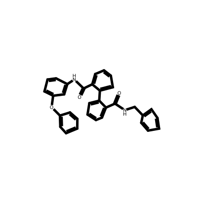 O=C(NCc1ccccc1)c1ccccc1-c1ccccc1C(=O)Nc1cccc(Oc2ccccc2)c1